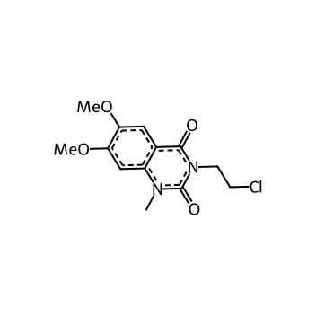 COc1cc2c(=O)n(CCCl)c(=O)n(C)c2cc1OC